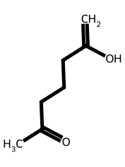 C=C(O)CCCC(C)=O